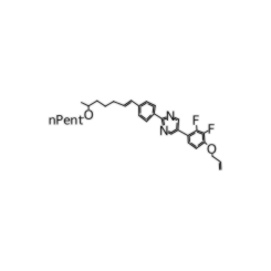 C=CCOc1ccc(-c2cnc(-c3ccc(/C=C/CCCC(C)OCCCCC)cc3)nc2)c(F)c1F